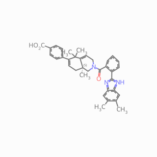 Cc1cc2nc(-c3ccccc3C(=O)N3CC=C4C(C)(C)C(c5ccc(C(=O)O)cc5)=CC[C@]4(C)C3)[nH]c2cc1C